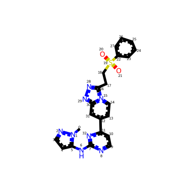 Cn1nccc1Nc1nccc(-c2ccn3c(CCS(=O)(=O)c4ccccc4)nnc3c2)n1